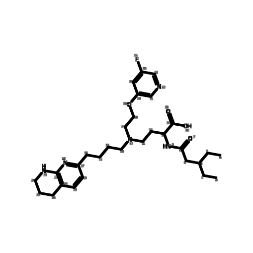 CCC(CC)CC(=O)NC(CCN(CCCCc1ccc2c(n1)NCCC2)CCOc1cncc(F)c1)C(=O)O